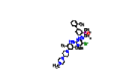 CCc1cc(Nc2ncc(Br)c(Nc3ccc(-c4ccccc4C#N)cc3P(C)(C)=O)n2)c(OC)cc1N1CCC(N2CCN(C)CC2)CC1